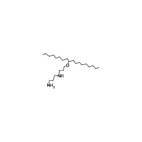 CCCCCCCCCC(CCCCCCCC)OCCCNCCCN